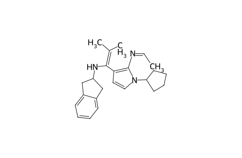 C/C=N\c1c(C(NC2Cc3ccccc3C2)=C(C)C)ccn1C1CCCC1